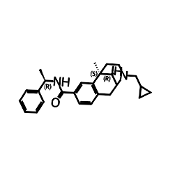 C[C@@H](NC(=O)c1ccc2c(c1)[C@@]1(C)CCN(CC3CC3)C(C2)[C@@H]1C)c1ccccc1